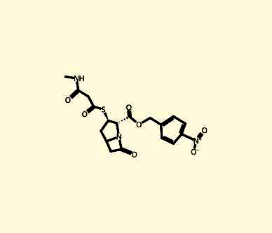 CNC(=O)CC(=O)S[C@@H]1CC2CC(=O)N2[C@H]1C(=O)OCc1ccc([N+](=O)[O-])cc1